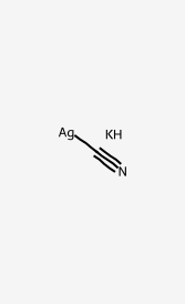 N#[C][Ag].[KH]